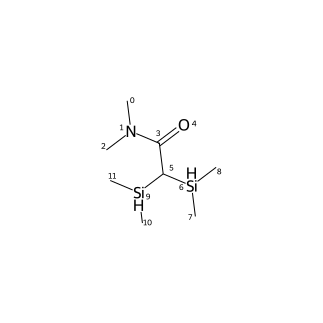 CN(C)C(=O)C([SiH](C)C)[SiH](C)C